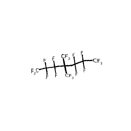 FC(F)(F)C(F)(F)C(F)(F)C(C(F)(F)F)(C(F)(F)F)C(F)(F)C(F)(F)C(F)(F)F